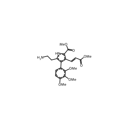 COC(=O)C=Cc1c(C(=O)OC)[nH]c(CCN)c1-c1ccc(OC)c(OC)c1OC